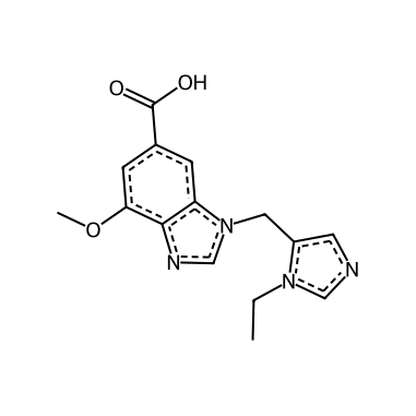 CCn1cncc1Cn1cnc2c(OC)cc(C(=O)O)cc21